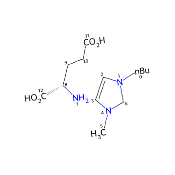 CCCCN1C=CN(C)C1.N[C@@H](CCC(=O)O)C(=O)O